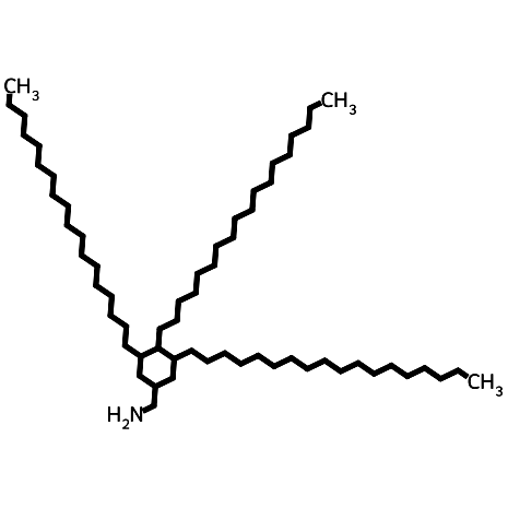 CCCCCCCCCCCCCCCCCCC1CC(CN)CC(CCCCCCCCCCCCCCCCCC)C1CCCCCCCCCCCCCCCCCC